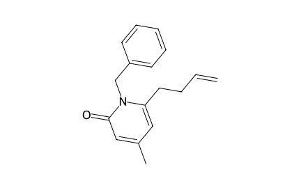 C=CCCc1cc(C)cc(=O)n1Cc1ccccc1